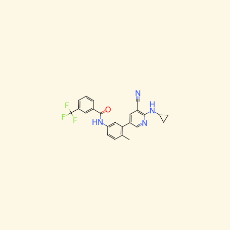 Cc1ccc(NC(=O)c2cccc(C(F)(F)F)c2)cc1-c1cnc(NC2CC2)c(C#N)c1